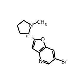 CN1CCC[C@H]1c1cc2ncc(Br)cc2o1